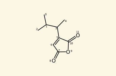 CC(C)C(C)C1=CC(=O)OC1=O